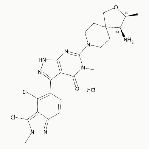 C[C@@H]1OCC2(CCN(c3nc4[nH]nc(-c5ccc6nn(C)c(Cl)c6c5Cl)c4c(=O)n3C)CC2)[C@@H]1N.Cl